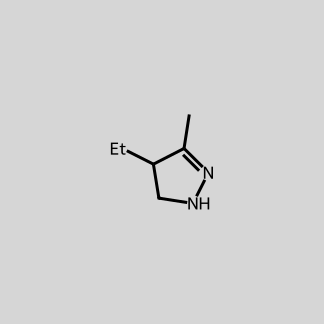 CCC1CNN=C1C